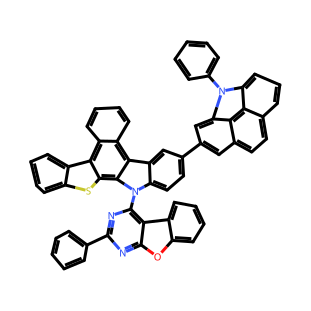 c1ccc(-c2nc(-n3c4ccc(-c5cc6ccc7cccc8c7c6c(c5)n8-c5ccccc5)cc4c4c5ccccc5c5c6ccccc6sc5c43)c3c(n2)oc2ccccc23)cc1